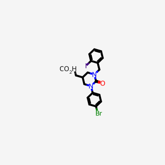 O=C(O)CC1CN(Cc2ccccc2I)C(=O)N(c2ccc(Br)cc2)C1